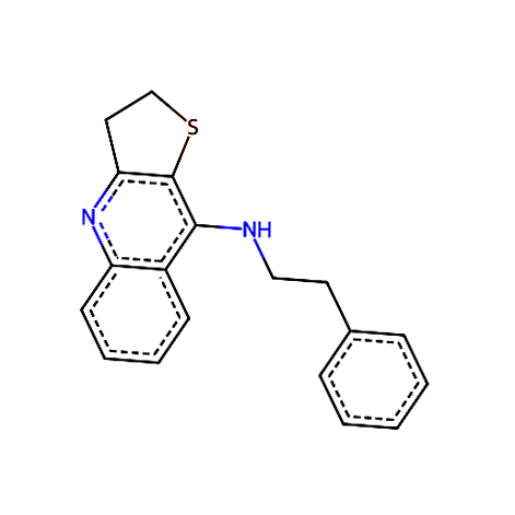 c1ccc(CCNc2c3c(nc4ccccc24)CCS3)cc1